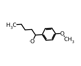 CCCCC([O])c1ccc(OC)cc1